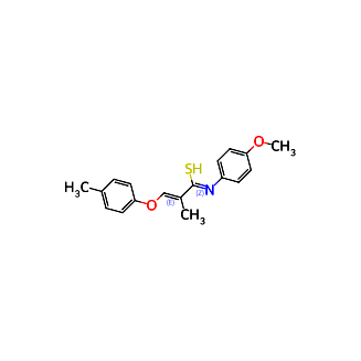 COc1ccc(/N=C(S)/C(C)=C/Oc2ccc(C)cc2)cc1